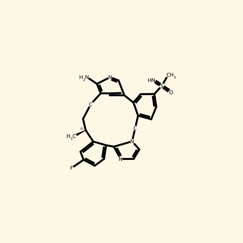 C[C@H]1CCc2cc(cnc2N)-c2cc(S(C)(=N)=O)ccc2Cn2ccnc2-c2ccc(F)cc21